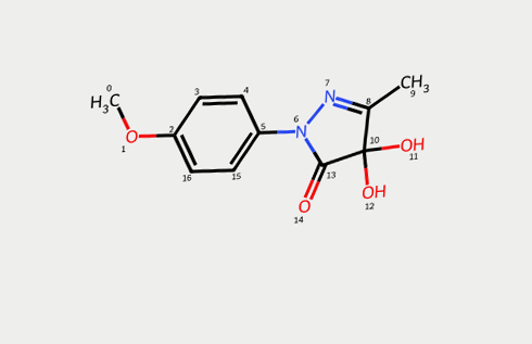 COc1ccc(N2N=C(C)C(O)(O)C2=O)cc1